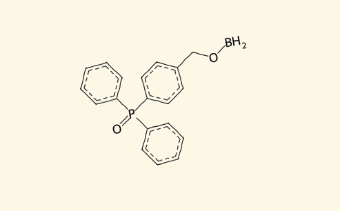 BOCc1ccc(P(=O)(c2ccccc2)c2ccccc2)cc1